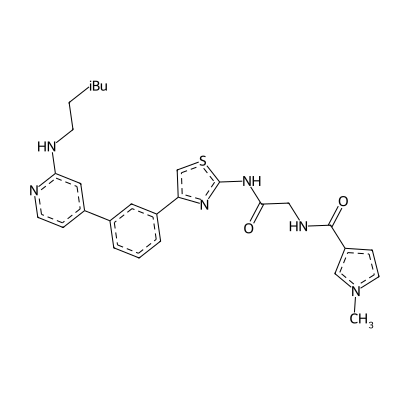 CCC(C)CCNc1cc(-c2cccc(-c3csc(NC(=O)CNC(=O)c4ccn(C)c4)n3)c2)ccn1